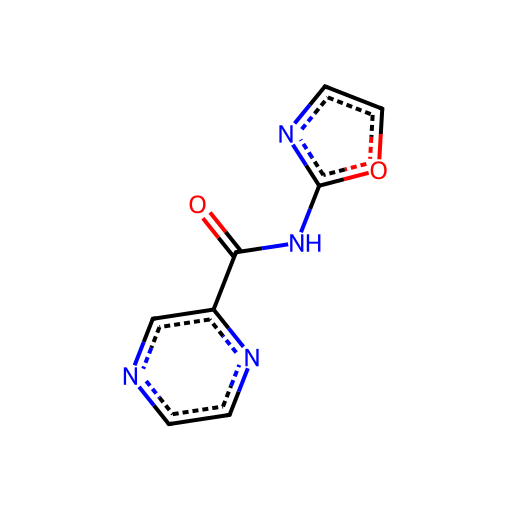 O=C(Nc1ncco1)c1cnccn1